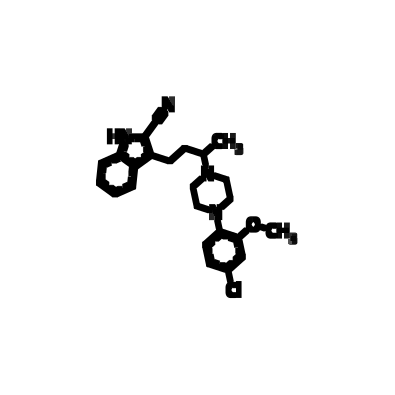 COc1cc(Cl)ccc1N1CCN(C(C)CCc2c(C#N)[nH]c3ccccc23)CC1